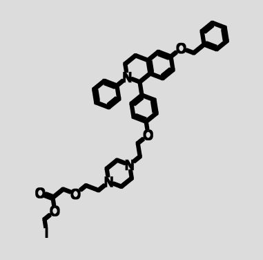 O=C(COCCN1CCN(CCOc2ccc(C3c4ccc(OCc5ccccc5)cc4CCN3c3ccccc3)cc2)CC1)OCI